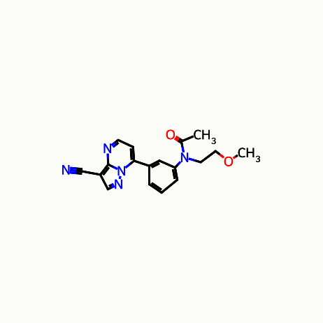 COCCN(C(C)=O)c1cccc(-c2ccnc3c(C#N)cnn23)c1